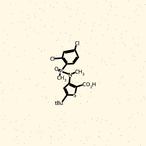 CN(c1cc(C(C)(C)C)sc1C(=O)O)P(C)(=O)c1ccc(Cl)cc1Cl